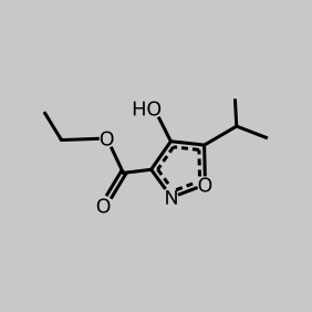 CCOC(=O)c1noc(C(C)C)c1O